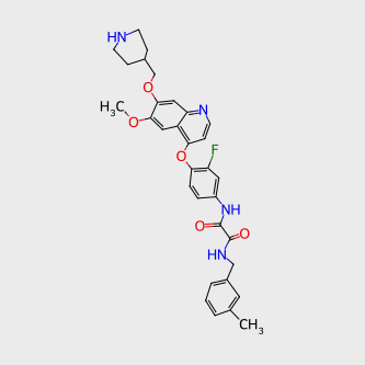 COc1cc2c(Oc3ccc(NC(=O)C(=O)NCc4cccc(C)c4)cc3F)ccnc2cc1OCC1CCNCC1